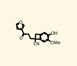 COc1cc2c(cc1O)CC2(C#N)CCC(=O)c1ccoc1